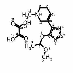 COC(C)Oc1nsnc1C1=CCCN(C)C1.O=C(O)C(=O)O